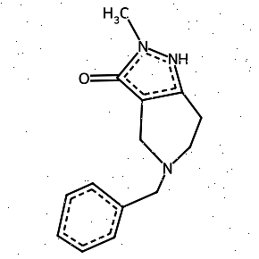 Cn1[nH]c2c(c1=O)CN(Cc1ccccc1)CC2